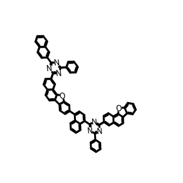 c1ccc(-c2nc(-c3ccc4ccccc4c3)nc(-c3ccc4ccc5c6ccc(-c7ccc(-c8nc(-c9ccccc9)nc(-c9ccc%10c(ccc%11c%12ccccc%12oc%10%11)c9)n8)c8ccccc78)cc6oc5c4c3)n2)cc1